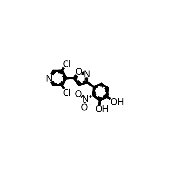 O=[N+]([O-])c1c(-c2cc(-c3c(Cl)cncc3Cl)on2)ccc(O)c1O